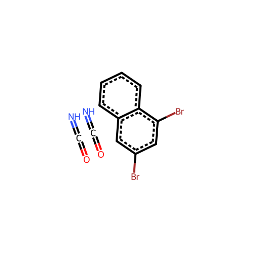 Brc1cc(Br)c2ccccc2c1.N=C=O.N=C=O